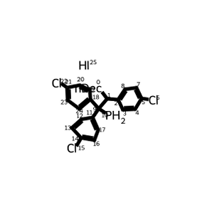 CCCCCCCCCCC(c1ccc(Cl)cc1)C(P)(c1ccc(Cl)cc1)c1ccc(Cl)cc1.I